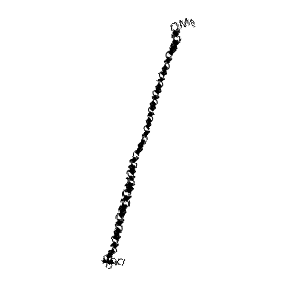 COCCOCCOCCOCCOCCOCCOCCOCCOCCOCCOCCOCCOCCOCCOCCOCCOCCOCCOCCOCCOCCOCCOC(C)C(=O)OCCl